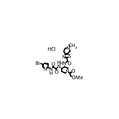 COCC(=O)N1CC[C@H](NC(=O)C(=O)Nc2ccc(Br)cn2)[C@H](NC(=O)c2nc3c(s2)CN(C)CC3)C1.Cl